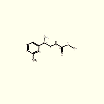 Cc1cccc([C@H](N)CNC(=O)OC(C)(C)C)c1